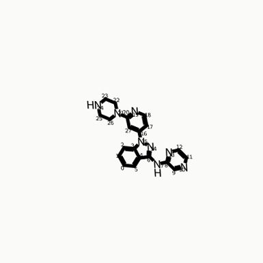 c1ccc2c(c1)c(Nc1cnccn1)nn2-c1ccnc(N2CCNCC2)c1